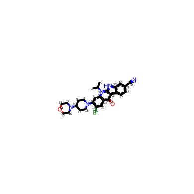 CC(C)n1c2cc(N3CCC(N4CCOCC4)CC3)c(Br)cc2c(=O)c2c3ccc(C#N)cc3[nH]c21